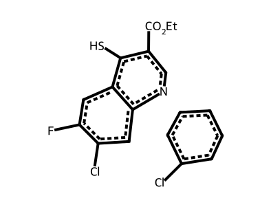 CCOC(=O)c1cnc2cc(Cl)c(F)cc2c1S.Clc1ccccc1